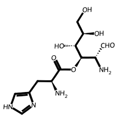 N[C@@H](Cc1c[nH]cn1)C(=O)O[C@@H]([C@H](O)[C@H](O)CO)[C@@H](N)C=O